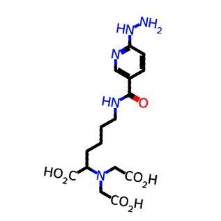 NNc1ccc(C(=O)NCCCCC(C(=O)O)N(CC(=O)O)CC(=O)O)cn1